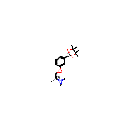 C[C@H](COc1cccc(B2OC(C)(C)C(C)(C)O2)c1)N(C)C